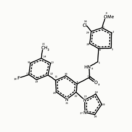 COc1ccc(CNC(=O)c2cc(-c3cc(C)cc(F)c3)cnc2-n2cccn2)cc1Cl